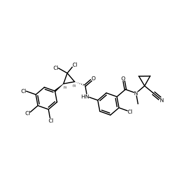 CN(C(=O)c1cc(NC(=O)[C@@H]2[C@@H](c3cc(Cl)c(Cl)c(Cl)c3)C2(Cl)Cl)ccc1Cl)C1(C#N)CC1